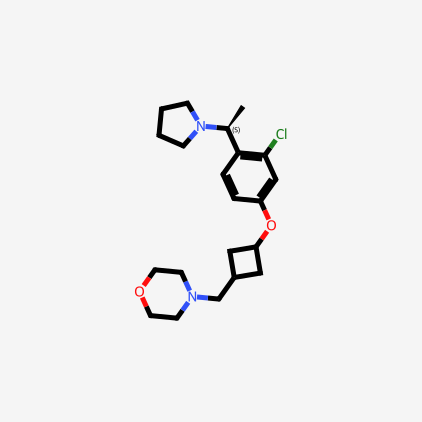 C[C@@H](c1ccc(OC2CC(CN3CCOCC3)C2)cc1Cl)N1CCCC1